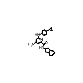 Nc1cc(Nc2ccc(C3CC3)cc2)nc(C(=O)NC2Cc3ccccc3C2)c1